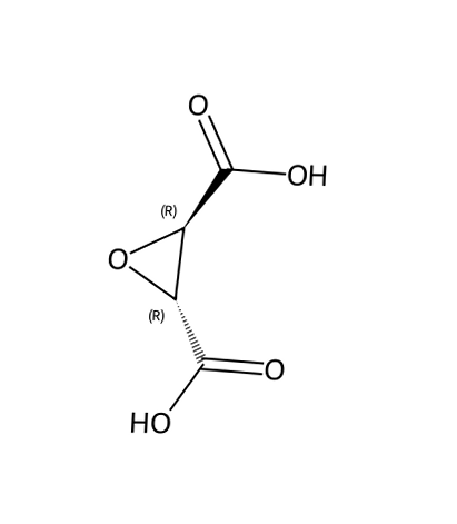 O=C(O)[C@@H]1O[C@H]1C(=O)O